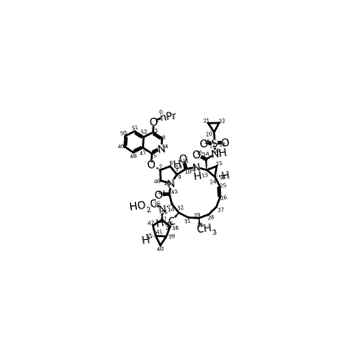 CCCOc1cnc(O[C@@H]2C[C@H]3C(=O)N[C@]4(C(=O)NS(=O)(=O)C5CC5)C[C@H]4/C=C\CC[C@@H](C)C[C@@H](C)[C@H](N(C(=O)O)[C@H]4CC5C[C@H]5C4)C(=O)N3C2)c2ccccc12